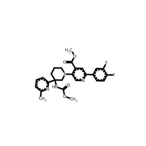 COC(=O)NC1(c2cccc(C)n2)CCCN(c2cnc(-c3ccc(F)c(F)c3)cc2C(=O)OC)C1